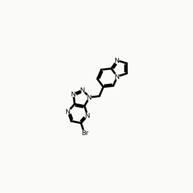 Brc1cnc2nnn(Cc3ccc4nccn4c3)c2n1